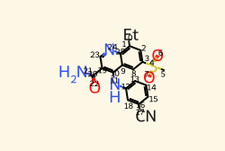 CCc1cc(S(C)(=O)=O)cc2c(Nc3cccc(C#N)c3)c(C(N)=O)cnc12